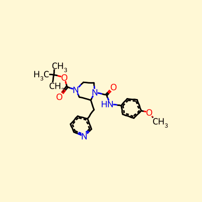 COc1ccc(NC(=O)N2CCN(C(=O)OC(C)(C)C)CC2Cc2cccnc2)cc1